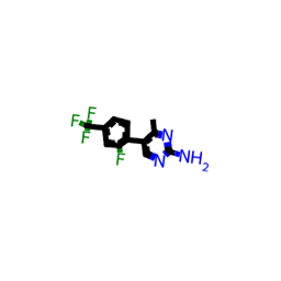 Cc1nc(N)ncc1-c1ccc(C(F)(F)F)cc1F